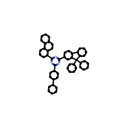 c1ccc(-c2ccc(-c3nc(-c4ccc5c(c4)C(c4ccccc4)(c4ccccc4)c4ccccc4-5)nc(-c4cccc5c4ccc4ccccc45)n3)cc2)cc1